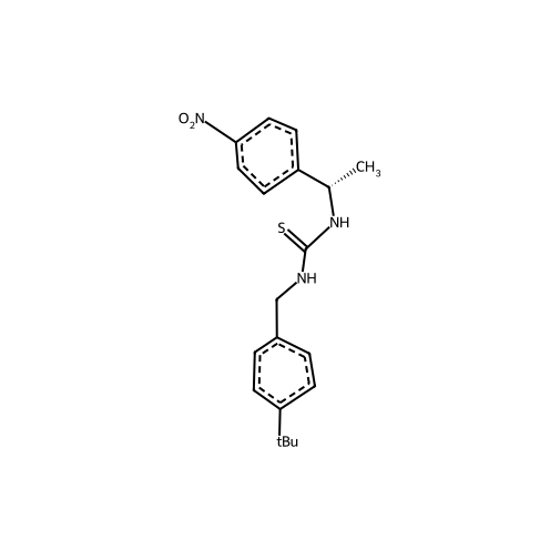 C[C@H](NC(=S)NCc1ccc(C(C)(C)C)cc1)c1ccc([N+](=O)[O-])cc1